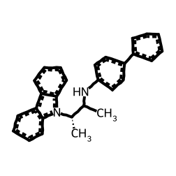 CC(Nc1ccc(-c2ccccc2)cc1)[C@H](C)n1c2ccccc2c2ccccc21